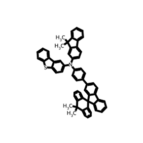 CC1(C)c2ccccc2-c2ccc(N(c3ccc(-c4ccc5c(c4)C4(c6ccccc6-5)c5ccccc5C(C)(C)c5ccccc54)cc3)c3ccc4sc5ccccc5c4c3)cc21